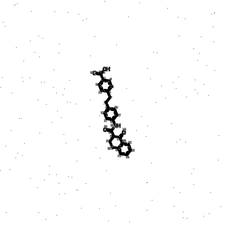 O=C(O)c1ccc(CCc2ccc(NC(=O)C3CSc4ccccc4C3=O)cc2)cc1